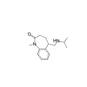 CC(C)NCC1CCC(=O)N(C)c2ccccc21